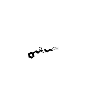 O=C(C=Cc1ccccc1)NCCCCO